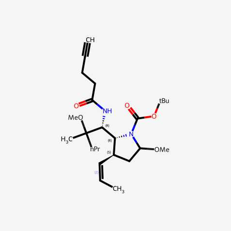 C#CCCC(=O)N[C@H]([C@H]1[C@H](/C=C\C)CC(OC)N1C(=O)OC(C)(C)C)C(C)(CCC)OC